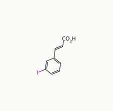 O=C(O)C=Cc1cccc(I)c1